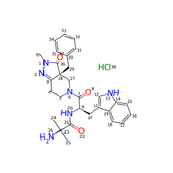 CN1N=C2CCN(C(=O)[C@@H](Cc3c[nH]c4ccccc34)NC(=O)C(C)(C)N)C[C@@]2(Cc2ccccc2)C1=O.Cl